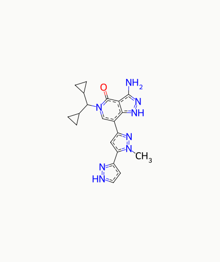 Cn1nc(-c2cn(C(C3CC3)C3CC3)c(=O)c3c(N)n[nH]c23)cc1-c1cc[nH]n1